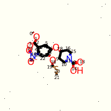 COC(=O)c1cc(OC2CCN(C(=O)O)CC2)c(OCSC)cc1[N+](=O)[O-]